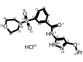 CC(C)Oc1cc(NC(=O)c2cccc(S(=O)(=O)N3CCOCC3)c2)[nH]n1.Cl